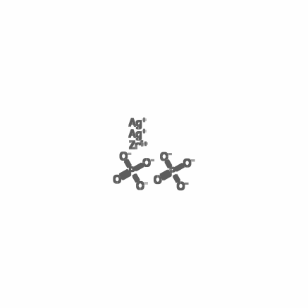 O=P([O-])([O-])[O-].O=P([O-])([O-])[O-].[Ag+].[Ag+].[Zr+4]